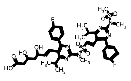 CC(C)c1nc(N(C)S(C)(=O)=O)nc(-c2ccc(F)cc2)c1/C=C/S(=O)(=O)N(C)c1nc(-c2ccc(F)cc2)c(/C=C/C(O)CC(O)CC(=O)O)c(C(C)C)n1